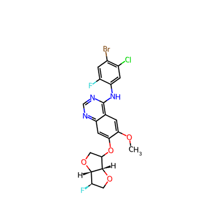 COc1cc2c(Nc3cc(Cl)c(Br)cc3F)ncnc2cc1OC1CO[C@H]2[C@H](F)CO[C@@H]12